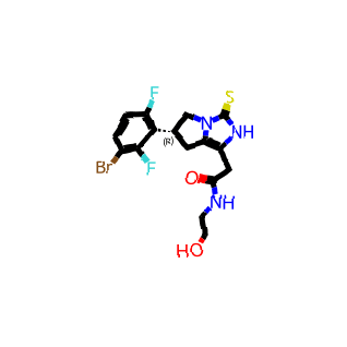 O=C(Cc1[nH]c(=S)n2c1C[C@H](c1c(F)ccc(Br)c1F)C2)NCCO